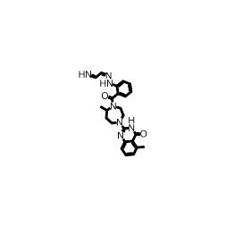 Cc1cccc2nc(N3CCC(C)N(C(=O)c4ccccc4N/N=C\C=N)CC3)[nH]c(=O)c12